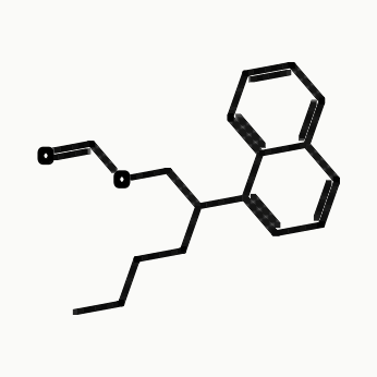 CCCCC(COC=O)c1cccc2ccccc12